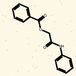 O=C(COC(=O)c1ccccc1)Nc1ccccc1